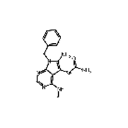 CNc1ncnc2c1c([Se]C(N)=O)c(N)n2Cc1ccccc1